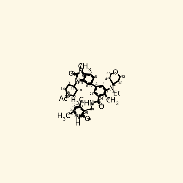 CCN(c1cc(-c2ccc3c(c2)n(C2CCN(C(C)=O)CC2)c(=O)n3C)cc(C(=O)NCc2c(C)cc(C)[nH]c2=O)c1C)C1CCOCC1